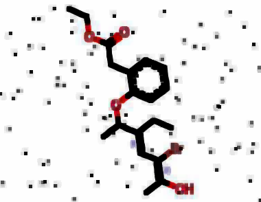 CCOC(=O)Cc1ccccc1OC(C)/C(=C/C(Br)=C(\C)O)CC